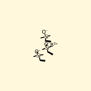 C=C[Si](C)(C)[O-].C=C[Si](C)(C)[O-].C=C[Si](C)(C)[O-].[B+3]